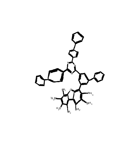 Bc1c(B)c(B)c2c(oc3c(-c4cc(-c5ccccc5)cc(-c5nc(-c6ccc(-c7ccccc7)cc6)nc(-c6ccc(-c7ccccc7)cc6)n5)c4)c(B)c(B)c(B)c32)c1B